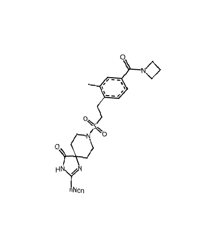 CCCCCCCCCC1=NC2(CCN(S(=O)(=O)CCc3ccc(C(=O)N4CCC4)cc3C)CC2)C(=O)N1